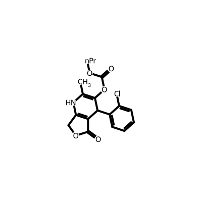 CCCOC(=O)OC1=C(C)NC2=C(C(=O)OC2)C1c1ccccc1Cl